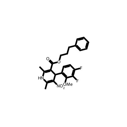 COc1c(C2C(C(=O)OCCCc3ccccc3)=C(C)NC(C)=C2[N+](=O)[O-])ccc(F)c1F